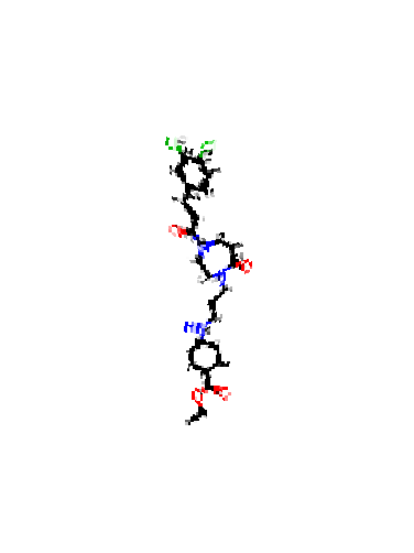 CCOC(=O)C1CCC(NCCCN2CCN(C(=O)C=Cc3ccc(Cl)c(Cl)c3)CCC2=O)CC1